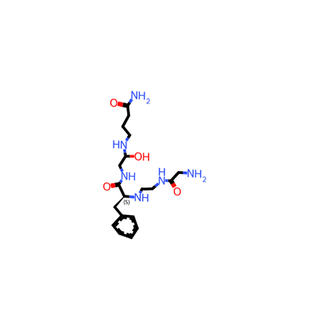 NCC(=O)NCCN[C@@H](Cc1ccccc1)C(=O)NCC(O)NCCCC(N)=O